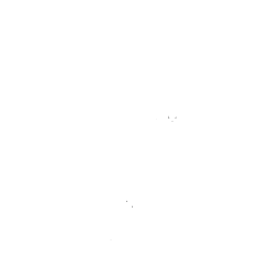 CCCCCCCCC(=O)NCc1ccc(OCC(O)CO)c(OC)c1